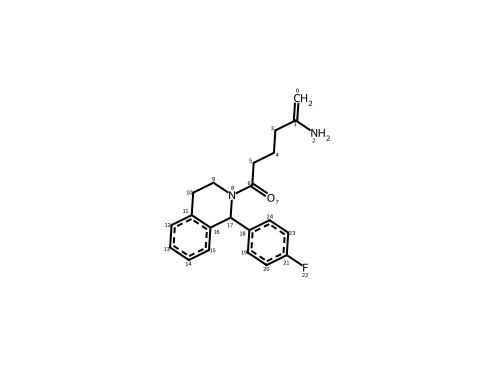 C=C(N)CCCC(=O)N1CCc2ccccc2C1c1ccc(F)cc1